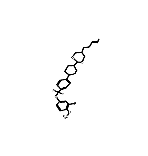 C/C=C/CCC1COC(C2CCC(c3ccc(C(F)(F)Oc4ccc(OC(F)(F)F)c(F)c4)cc3)CC2)OC1